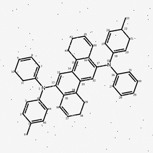 Cc1ccc(N(C2=CC=CCC2)c2cc3c4c(c(N(C5=CCC(C)C=C5)c5ccccc5)cc3c3c2C=CCC3)C=CCC4)cc1